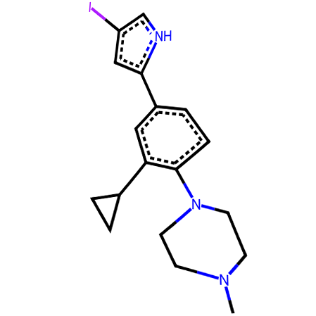 CN1CCN(c2ccc(-c3cc(I)c[nH]3)cc2C2CC2)CC1